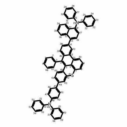 c1ccc(-c2c3c4c(cccc4c4cc(-c5ccc(N(c6ccccc6)c6ccccc6)c6ccccc56)ccc24)Sc2cc(-c4ccc(N(c5ccccc5)c5ccccc5)cc4)ccc2-3)cc1